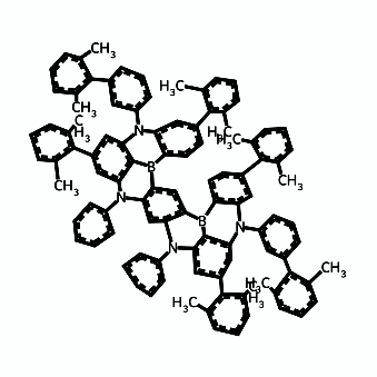 Cc1cccc(C)c1-c1cccc(N2c3cc(-c4c(C)cccc4C)ccc3B3c4cc5c(cc4N(c4ccccc4)c4cc(-c6c(C)cccc6C)cc2c43)N(c2ccccc2)c2cc(-c3c(C)cccc3C)cc3c2B5c2ccc(-c4c(C)cccc4C)cc2N3c2cccc(-c3c(C)cccc3C)c2)c1